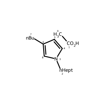 CC(=O)O.CCCCCCCn1ccc(CCCC)c1